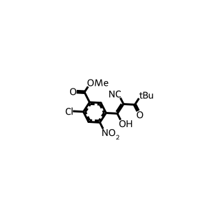 COC(=O)c1cc(/C(O)=C(\C#N)C(=O)C(C)(C)C)c([N+](=O)[O-])cc1Cl